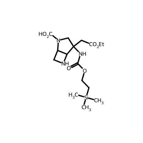 CCOC(=O)CC1(NC(=O)OCC[Si](C)(C)C)CN(C(=O)O)C2CNC21